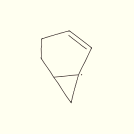 C1=C[C]2CC2CC1